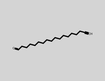 C#CCCCCCCCCCCCCCCCC=O